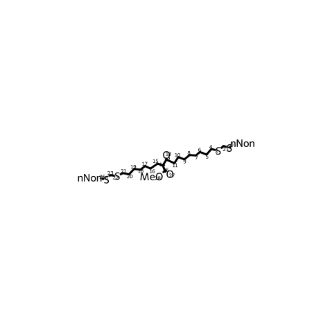 CCCCCCCCCSCSCCCCCCCCC(=O)C(CCCCCCCSCSCCCCCCCCC)C(=O)OC